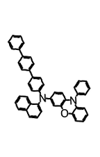 c1ccc(-c2ccc(-c3ccc(N(c4ccc5c(c4)Oc4ccccc4N5c4ccccc4)c4cccc5ccccc45)cc3)cc2)cc1